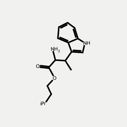 CC(C)CCOC(=O)C(N)C(C)c1c[nH]c2ccccc12